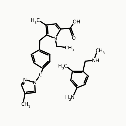 CCn1c(C(=O)O)cc(C)c1Cc1ccc(Cn2cc(C)cn2)cc1.CNCc1ccc(N)cc1C